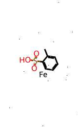 Cc1ccccc1S(=O)(=O)O.[Fe]